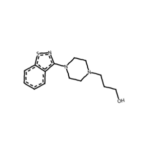 OCCCN1CCN(c2nsc3ccccc23)CC1